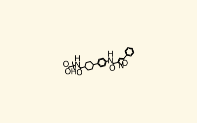 CC(C)(NC(=O)C1CCC(c2ccc(NC(=O)c3cc(-c4ccccc4)on3)cc2)CC1)C(=O)O